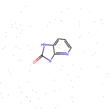 O=C1[N]c2ncccc2N1